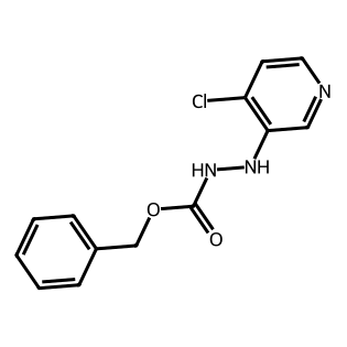 O=C(NNc1cnccc1Cl)OCc1ccccc1